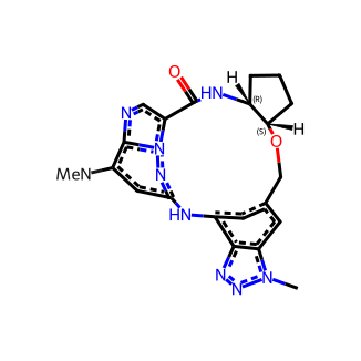 CNc1cc2nn3c(cnc13)C(=O)N[C@@H]1CCC[C@@H]1OCc1cc(c3nnn(C)c3c1)N2